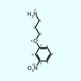 NCCCOc1cccc([N+](=O)[O-])c1